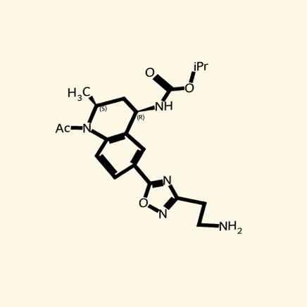 CC(=O)N1c2ccc(-c3nc(CCN)no3)cc2[C@H](NC(=O)OC(C)C)C[C@@H]1C